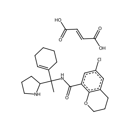 CC(NC(=O)c1cc(Cl)cc2c1OCCC2)(C1=CCCCC1)C1CCCN1.O=C(O)/C=C/C(=O)O